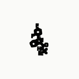 CCC(C)(C)NC(=O)c1nn(-c2ccc(F)cc2F)c2c1C1CCC2C1